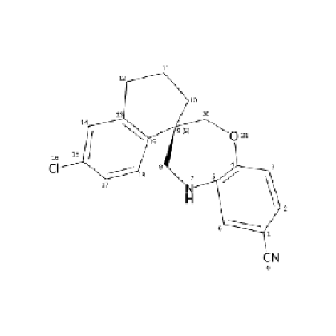 N#Cc1ccc2c(c1)NC[C@@]1(CCCc3cc(Cl)ccc31)CO2